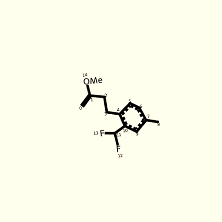 C=C(CCc1ccc(C)cc1C(F)F)OC